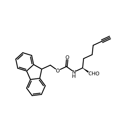 C#CCCC[C@@H](C=O)NC(=O)OCC1c2ccccc2-c2ccccc21